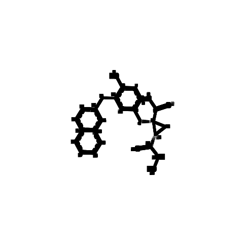 COC(=O)[C@@]1(Cc2ccc(O)c(Cc3ccc4ccccc4c3)c2)C[C@@H]1C(=O)NO